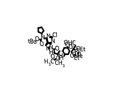 CCOP(=O)(OCC)C(CC=O)(COC)OC1(C)CCC(C(C)C)C([C@H]2O[C@@H](n3ncc4c(N(C(=O)OC(C)(C)C)C5CCCC5)nc(Cl)nc43)[C@@H]3OC(C)(C)O[C@@H]32)C1